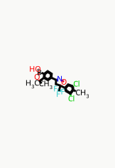 Cc1c(Cl)cc(C2(C(F)(F)F)CC(c3ccc4c(c3)C(C)(C)OB4O)=NO2)cc1Cl